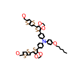 CCCCCCOc1ccc(N(c2ccc(-c3sc(-c4cc5sc(C=O)cc5s4)c4c3OCCO4)cc2)c2ccc(-c3sc(-c4cc5sc(C=O)cc5s4)c4c3OCCO4)cc2)cc1